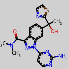 CN(C)C(=O)c1nn(-c2ccnc(N)n2)c2cc(C(C)(O)c3nccs3)ccc12